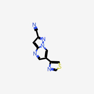 N#Cc1cc2ncc(-c3cscn3)cn2n1